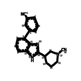 N#Cc1cccc(-c2cccc3[nH]c(C4CCCN(C#N)C4)nc23)c1